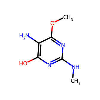 CNc1nc(O)c(N)c(OC)n1